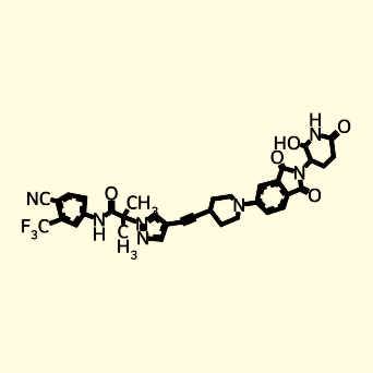 CC(C)(C(=O)Nc1ccc(C#N)c(C(F)(F)F)c1)n1cc(C#CC2CCN(c3ccc4c(c3)C(=O)N(C3CCC(=O)NC3O)C4=O)CC2)cn1